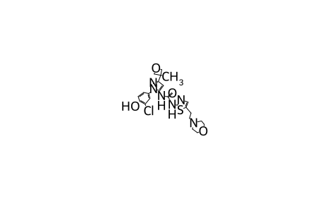 CC1(c2cc(NC(=O)Nc3ncc(CCN4CCOCC4)s3)n(-c3ccc(O)c(Cl)c3)n2)COC1